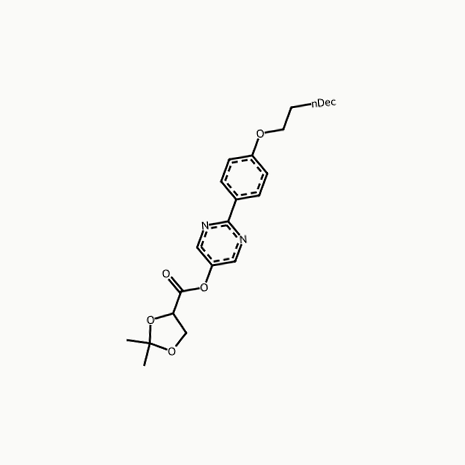 CCCCCCCCCCCCOc1ccc(-c2ncc(OC(=O)C3COC(C)(C)O3)cn2)cc1